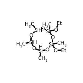 CCO[Si]1(C)O[SiH](C)O[SiH](C)O[SiH](C)O[Si](C)(OCC)O1